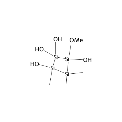 CO[Si]1(O)[Si](C)(C)[Si](C)(O)[Si]1(O)O